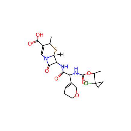 CC1S[C@@H]2C(NC(=O)C(NC(=O)OC(C)C3(Cl)CC3)C3=CCCOC3)C(=O)N2C=C1C(=O)O